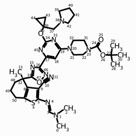 CN(C)/C=N/c1sc2c(c1C#N)[C@@](C)(c1nc(-c3cc(N4CCN(C(=O)OC(C)(C)C)CC4)nc(OC4(CN5CCCC5)CC4)n3)no1)CCC2